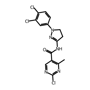 Cc1nc(Cl)ncc1C(=O)NC1=NN(c2ccc(Cl)c(Cl)c2)CC1